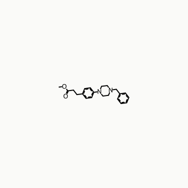 COC(=O)CCc1ccc(N2CCN(Cc3ccccc3)CC2)cc1